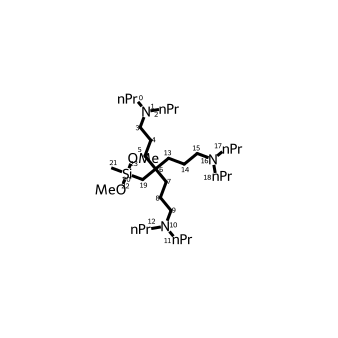 CCCN(CCC)CCCC(CCCN(CCC)CCC)(CCCN(CCC)CCC)C[Si](C)(OC)OC